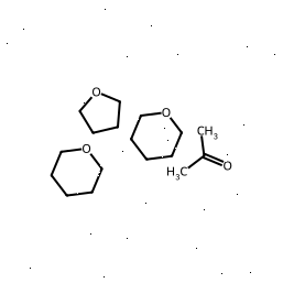 C1CCOC1.C1CCOCC1.C1CCOCC1.CC(C)=O